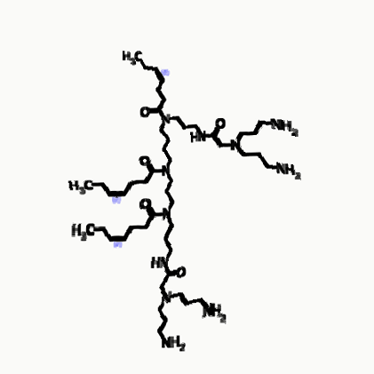 CC/C=C\CCC(=O)N(CCCCN(CCCN(CCCNC(=O)CN(CCCN)CCCN)C(=O)CC/C=C\CC)C(=O)CC/C=C\CC)CCCNC(=O)CN(CCCN)CCCN